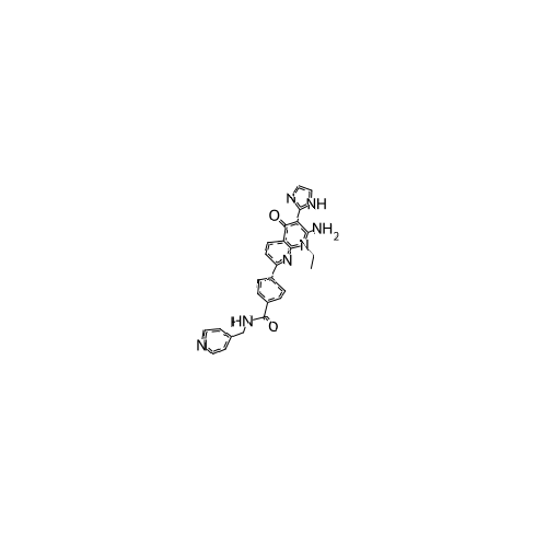 CCn1c(N)c(-c2ncc[nH]2)c(=O)c2ccc(-c3ccc(C(=O)NCc4ccncc4)cc3)nc21